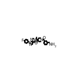 CC(n1cnc2c(cnn2-c2ccc(F)cc2)c1=O)C1(O)CCN(C(=O)c2cccc(CN)c2)CC1